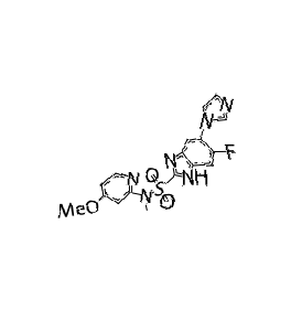 COc1ccnc(N(C)S(=O)(=O)c2nc3cc(-n4ccnc4)c(F)cc3[nH]2)c1